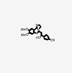 COc1cc2c(cc1OC)C1=NCCN1C(/C=C(\O)c1ccc(C#N)cc1)=N2